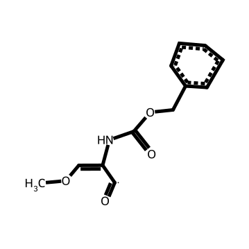 COC=C([C]=O)NC(=O)OCc1ccccc1